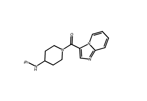 CC(C)NC1CCN(C(=O)c2cnc3ccccn23)CC1